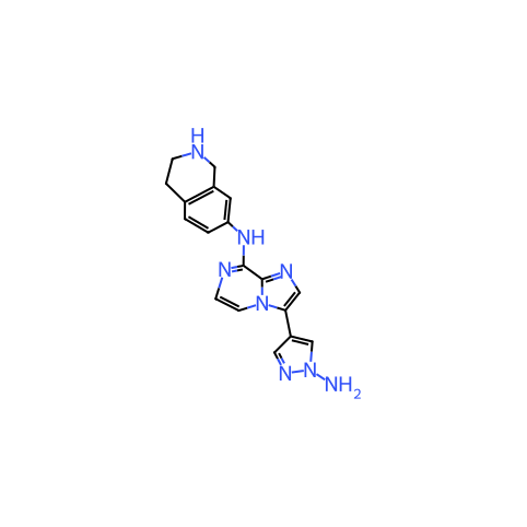 Nn1cc(-c2cnc3c(Nc4ccc5c(c4)CNCC5)nccn23)cn1